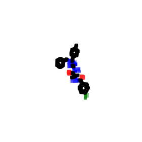 Cc1ccc(-c2nc(NC(=O)C(C)(C)NC(=O)c3ccc(F)cc3)nn2Cc2ccccc2)cc1